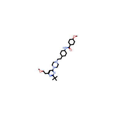 COCCc1cc(N2CCN(CCC3CCC(NC(=O)C4CCC(OC)CC4)CC3)CC2)nc(C(C)(C)C)n1